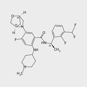 C[C@@H](NC(=O)c1cc(N2C[C@H]3C[C@@H]2CO3)c(F)cc1NC1CCN(C)CC1)c1cccc(C(F)F)c1F